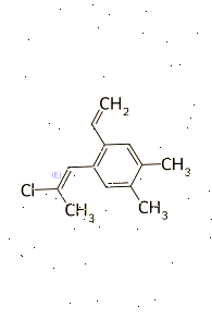 C=Cc1cc(C)c(C)cc1/C=C(\C)Cl